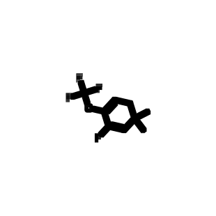 CC1(C)C=C(F)C(OC(F)(F)F)=CC1